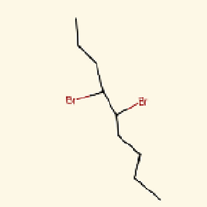 CCCCC(Br)C(Br)CCC